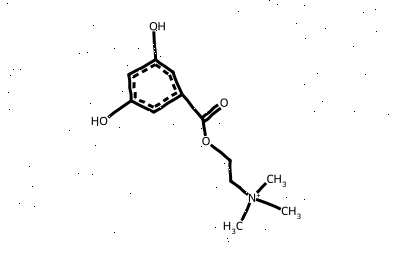 C[N+](C)(C)CCOC(=O)c1cc(O)cc(O)c1